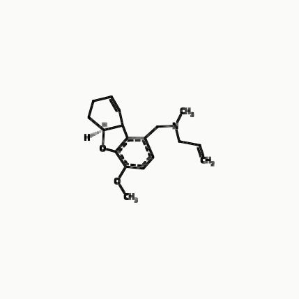 C=CCN(C)Cc1ccc(OC)c2c1C1C=CCC[C@@H]1O2